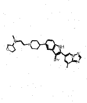 Cc1cc(-c2[nH]c3ccc(C4CCN(CCN(C)C5CCOC5)CC4)cc3c2C(C)C)cn2ncnc12